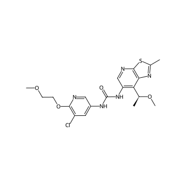 COCCOc1ncc(NC(=O)Nc2cnc3sc(C)nc3c2[C@H](C)OC)cc1Cl